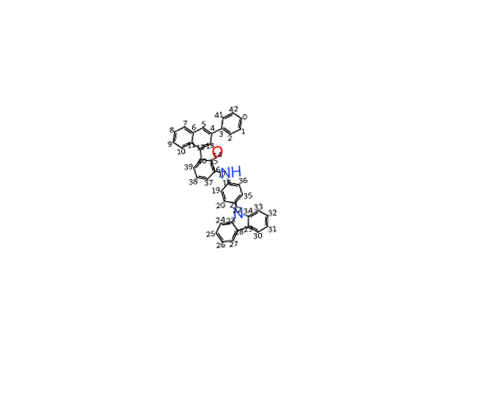 c1ccc(-c2cc3ccccc3c3c2oc2c(Nc4ccc(-n5c6ccccc6c6ccccc65)cc4)cccc23)cc1